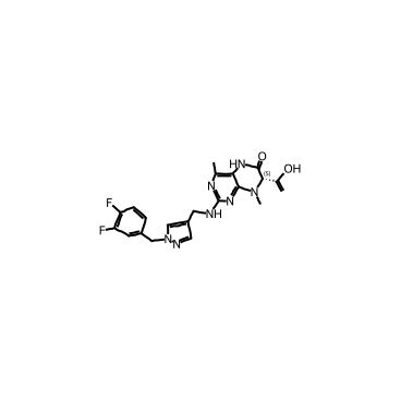 C=C(O)[C@H]1C(=O)Nc2c(C)nc(NCc3cnn(Cc4ccc(F)c(F)c4)c3)nc2N1C